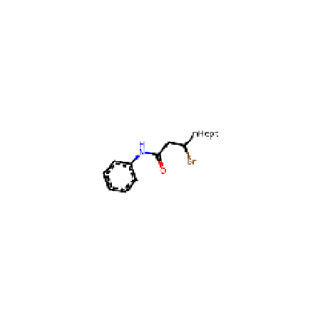 CCCCCCCC(Br)CC(=O)Nc1ccccc1